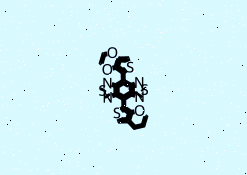 c1sc(-c2c3c(c(-c4scc5c4OCCO5)c4nsnc24)N=S=N3)c2c1CCCO2